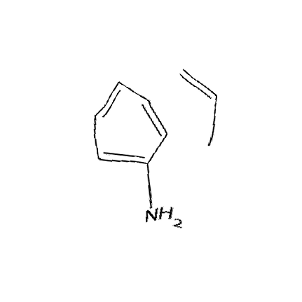 C=CC.Nc1ccccc1